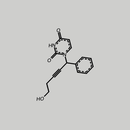 O=c1ccn(C(C#CCCO)c2ccccc2)c(=O)[nH]1